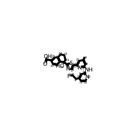 Cc1cc(Nc2cc(CCF)ccn2)nc(-c2cnc(C3(O)CCCc4cc(C(=O)O)ccc43)s2)c1